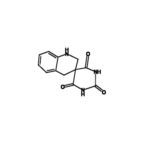 O=C1NC(=O)C2(CNc3ccccc3C2)C(=O)N1